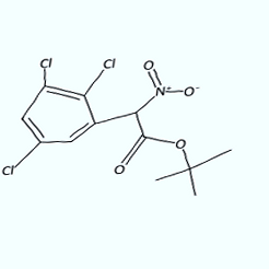 CC(C)(C)OC(=O)C(c1cc(Cl)cc(Cl)c1Cl)[N+](=O)[O-]